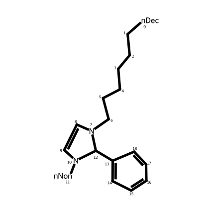 CCCCCCCCCCCCCCCCN1C=CN(CCCCCCCCC)C1c1ccccc1